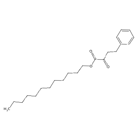 CCCCCCCCCCCCOC(=O)C(=O)CCc1ccccc1